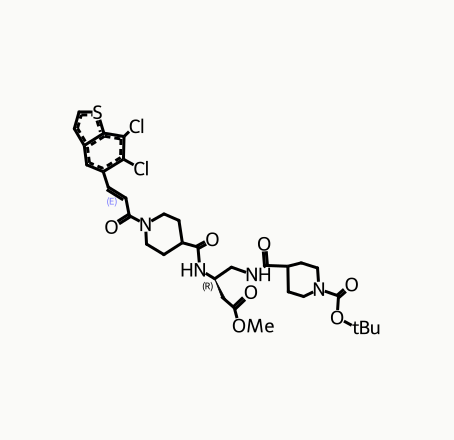 COC(=O)C[C@H](CNC(=O)C1CCN(C(=O)OC(C)(C)C)CC1)NC(=O)C1CCN(C(=O)/C=C/c2cc3ccsc3c(Cl)c2Cl)CC1